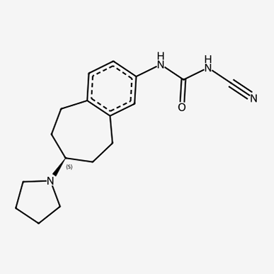 N#CNC(=O)Nc1ccc2c(c1)CC[C@@H](N1CCCC1)CC2